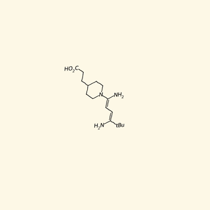 CC(C)(C)/C(N)=C/C=C(\N)N1CCC(CCC(=O)O)CC1